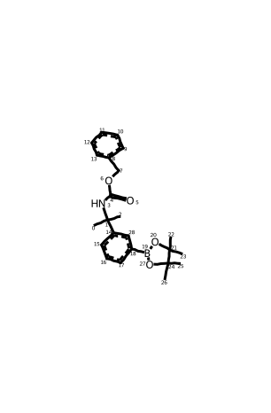 CC(C)(NC(=O)OCc1ccccc1)c1cccc(B2OC(C)(C)C(C)(C)O2)c1